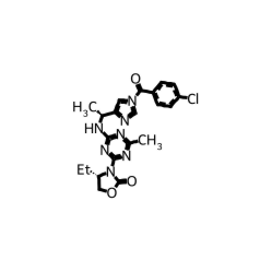 CC[C@H]1COC(=O)N1c1nc(C)nc(N[C@@H](C)c2cn(C(=O)c3ccc(Cl)cc3)cn2)n1